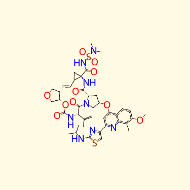 C=CC1C[C@]1(NC(=O)[C@@H]1C[C@@H](Oc2cc(-c3csc(NC(C)C)n3)nc3c(C)c(OC)ccc23)CN1C(=O)[C@@H](NC(=O)O[C@H]1CCOC1)C(=C)C)C(=O)NS(=O)(=O)N(C)C